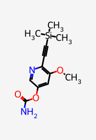 COc1cc(OC(N)=O)cnc1C#C[Si](C)(C)C